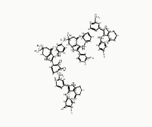 CC1(C)CC(=O)c2c([nH]c(-c3ccnc(Cl)c3Cl)c2Nc2ccccc2)C1.CC1(C)CC(=O)c2c([nH]c(-c3ccnc(F)c3)c2Nc2ccccc2)C1.Nc1cc(-c2[nH]c3c(c2Nc2ccc(F)c(F)c2)C(=O)CCC3)ccn1.Nc1cc(-c2[nH]c3c(c2Nc2ccc(F)cc2)C(=O)CCC3)ccn1